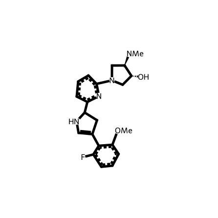 CN[C@@H]1CN(c2cccc(C3CC(c4c(F)cccc4OC)=CN3)n2)C[C@H]1O